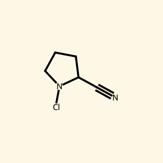 N#CC1CCCN1Cl